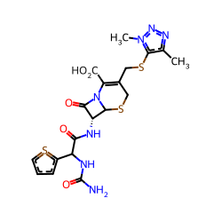 Cc1nnn(C)c1SCC1=C(C(=O)O)N2C(=O)[C@@H](NC(=O)C(NC(N)=O)c3cccs3)C2SC1